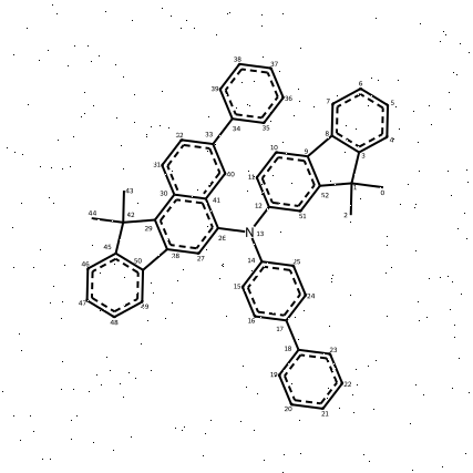 CC1(C)c2ccccc2-c2ccc(N(c3ccc(-c4ccccc4)cc3)c3cc4c(c5ccc(-c6ccccc6)cc35)C(C)(C)c3ccccc3-4)cc21